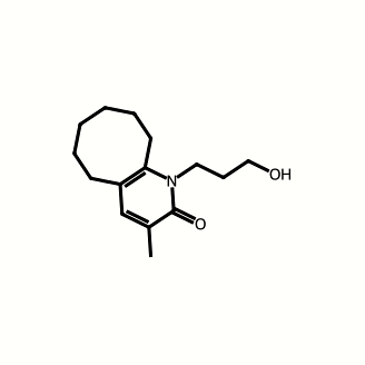 Cc1cc2c(n(CCCO)c1=O)CCCCCC2